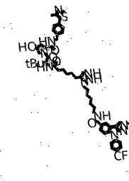 Cc1ncsc1-c1ccc(CNC(=O)[C@@H]2C[C@@H](O)CN2C(=O)[C@@H](NC(=O)CCCCCC2=CNNN2CCCCCCCNC(=O)c2ccc3c(c2)c2cn(C)nc2n3-c2ccc(C(F)(F)F)cc2)C(C)(C)C)cc1